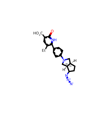 CCc1cc(C(=O)O)c(=O)[nH]c1-c1ccc(N2C[C@H]3CCC(N=[N+]=[N-])[C@H]3C2)cc1